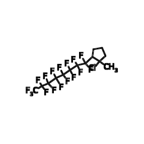 CC1(Cl)CCCC1C(F)(F)C(F)(F)C(F)(F)C(F)(F)C(F)(F)C(F)(F)C(F)(F)C(F)(F)F